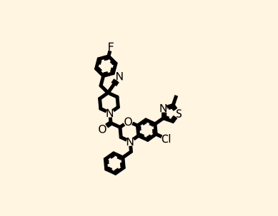 Cc1nc(-c2cc3c(cc2Cl)N(Cc2ccccc2)CC(C(=O)N2CCC(C#N)(Cc4ccc(F)cc4)CC2)O3)cs1